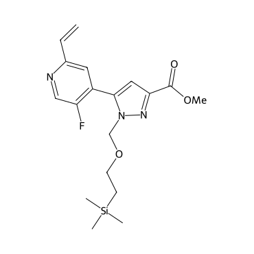 C=Cc1cc(-c2cc(C(=O)OC)nn2COCC[Si](C)(C)C)c(F)cn1